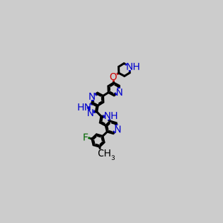 Cc1cc(F)cc(-c2cncc3[nH]c(-c4n[nH]c5ncc(-c6cncc(OC7CCNCC7)c6)cc45)cc23)c1